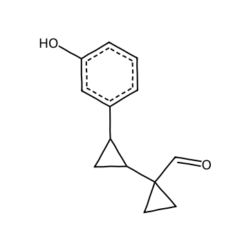 O=CC1(C2CC2c2cccc(O)c2)CC1